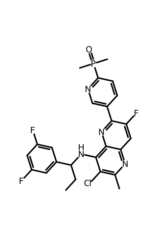 CCC(Nc1c(Cl)c(C)nc2cc(F)c(-c3ccc(P(C)(C)=O)nc3)nc12)c1cc(F)cc(F)c1